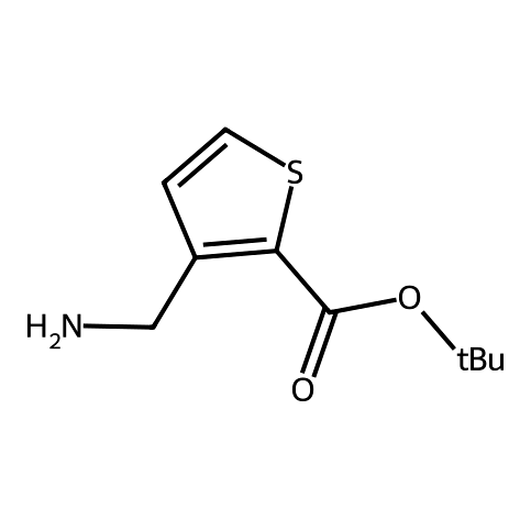 CC(C)(C)OC(=O)c1sccc1CN